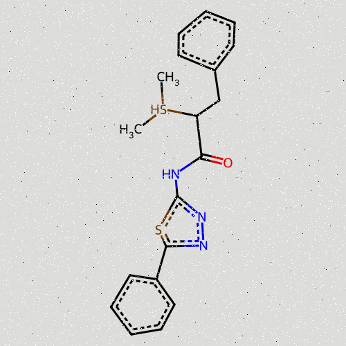 C[SH](C)C(Cc1ccccc1)C(=O)Nc1nnc(-c2ccccc2)s1